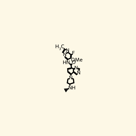 COc1c(NC(=O)c2ccc(N3CCC(NC4CC4)CC3)c3cncnc23)cn2cc(C)nc2c1F